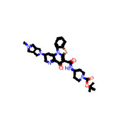 CN1CC2CN(c3cnc4c(=O)c(C(=O)NC5CCN(C(=O)OC(C)(C)C)CC5)c5sc6ccccc6n5c4c3)CC2C1